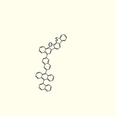 c1ccc2c(-c3c4ccccc4c(-c4ccc5cc(-c6cc7c8ccc9c%10ccccc%10sc9c8oc7c7ccccc67)ccc5c4)c4ccccc34)cccc2c1